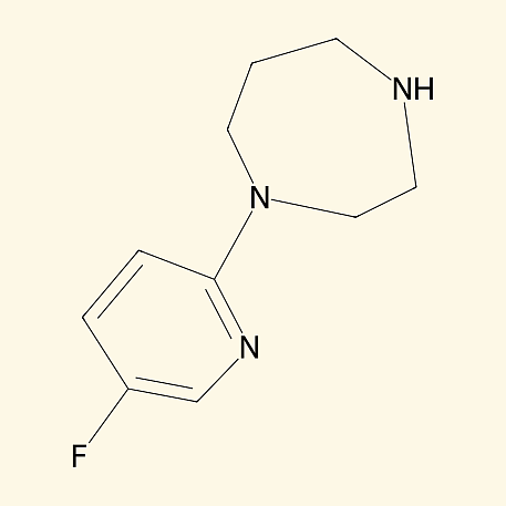 Fc1ccc(N2CCCNCC2)nc1